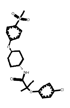 CC(C)(Oc1ccc(Cl)cc1)C(=O)N[C@H]1CC[C@H](Oc2ccc(S(C)(=O)=O)cc2)CC1